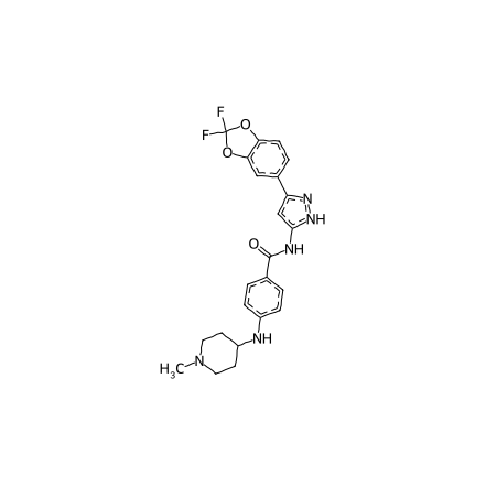 CN1CCC(Nc2ccc(C(=O)Nc3cc(-c4ccc5c(c4)OC(F)(F)O5)n[nH]3)cc2)CC1